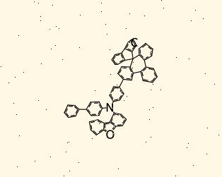 c1ccc(-c2ccc(N(c3ccc(-c4ccc5c(c4)-c4ccccc4-c4ccccc4C54c5ccccc5-c5ccccc54)cc3)c3cccc4oc5ccccc5c34)cc2)cc1